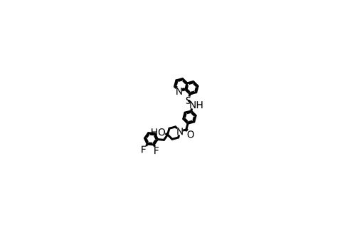 O=C(c1ccc(NSc2cccc3cccnc23)cc1)N1CCC(O)(Cc2cccc(F)c2F)CC1